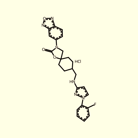 Cl.O=C1OC2(CCC(CNc3ccn(-c4ccccc4F)n3)CC2)CN1c1ccc2nonc2c1